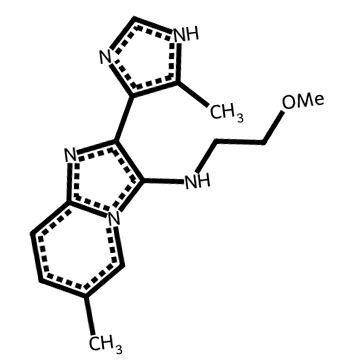 COCCNc1c(-c2nc[nH]c2C)nc2ccc(C)cn12